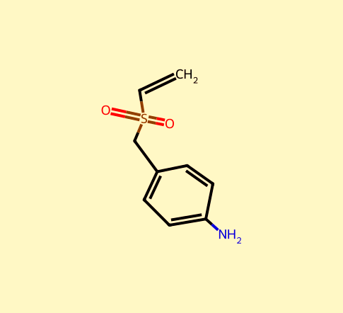 C=CS(=O)(=O)Cc1ccc(N)cc1